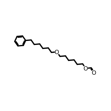 O=COCCCCCCOCCCCCCc1ccccc1